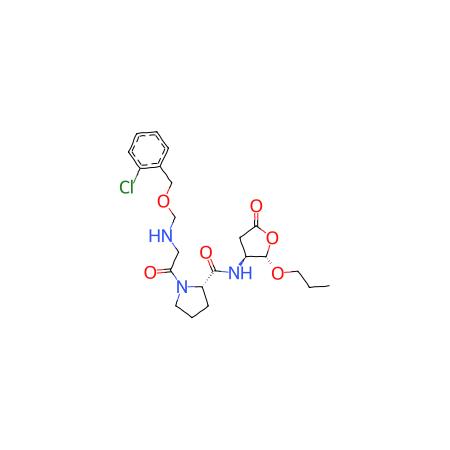 CCCO[C@H]1OC(=O)C[C@@H]1NC(=O)[C@@H]1CCCN1C(=O)CNCOCc1ccccc1Cl